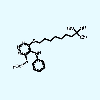 CCCCCCCCSc1nnnc(SCCCCCCCC(O)(C(C)(C)C)C(C)(C)C)c1Nc1ccccc1